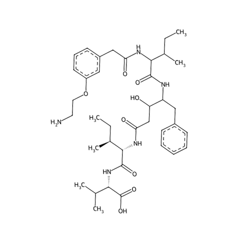 CCC(C)C(NC(=O)Cc1cccc(OCCN)c1)C(=O)NC(Cc1ccccc1)C(O)CC(=O)N[C@H](C(=O)N[C@H](C(=O)O)C(C)C)[C@@H](C)CC